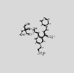 NC(CO)(CO)CO.O=S(=O)(O)CCN1CCN(CCO)C(C(CCN2CCOCC2)S(=O)(=O)O)C1